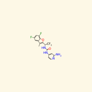 Cc1c([C@H](NC(=O)Nc2ccnc(N)c2)C(F)(F)F)oc2c(F)cc(F)cc12